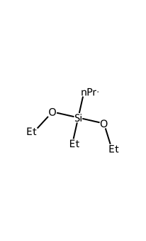 [CH2]C[CH][Si](CC)(OCC)OCC